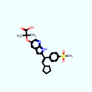 CC(C)(Oc1cnc2[nH]c(C(=CC3CCCC3)c3ccc(S(C)(=O)=O)cc3)cc2c1)C(=O)O